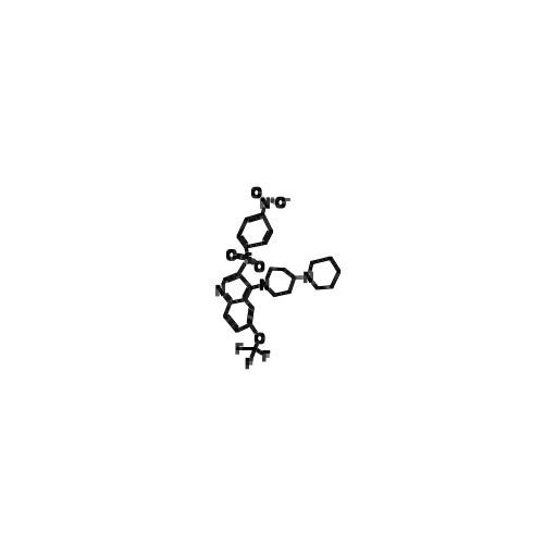 O=[N+]([O-])c1ccc(S(=O)(=O)c2cnc3ccc(OC(F)(F)F)cc3c2N2CCC(N3CCCCC3)CC2)cc1